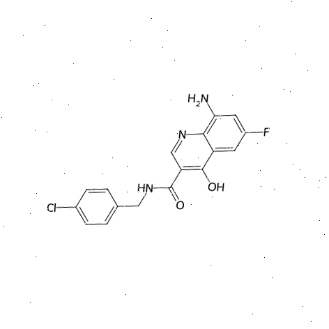 Nc1cc(F)cc2c(O)c(C(=O)NCc3ccc(Cl)cc3)cnc12